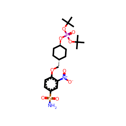 CC(C)(C)OP(=O)(OC(C)(C)C)O[C@H]1CC[C@H](COc2ccc(S(N)(=O)=O)cc2[N+](=O)[O-])CC1